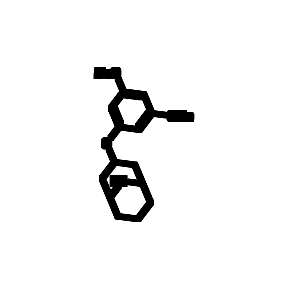 COc1cc(OC)cc(OC2CC3CCCC(C2)N3)c1